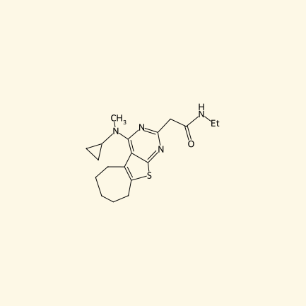 CCNC(=O)Cc1nc(N(C)C2CC2)c2c3c(sc2n1)CCCCC3